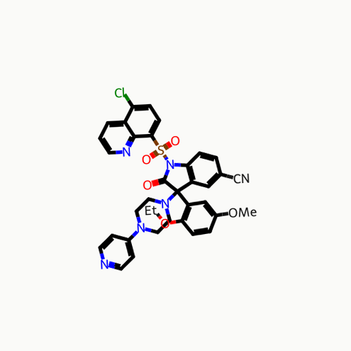 CCOc1ccc(OC)cc1C1(N2CCN(c3ccncc3)CC2)C(=O)N(S(=O)(=O)c2ccc(Cl)c3cccnc23)c2ccc(C#N)cc21